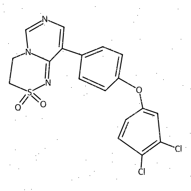 O=S1(=O)CCN2C=NC=C(c3ccc(Oc4ccc(Cl)c(Cl)c4)cc3)C2=N1